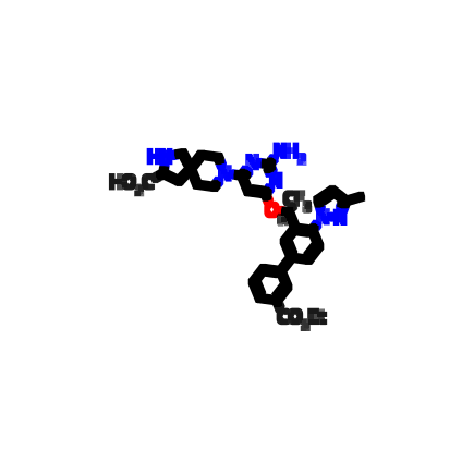 CCOC(=O)c1cccc(-c2ccc(-n3ccc(C)n3)c([C@@H](Oc3cc(N4CCC5(CC4)CNC(C(=O)O)C5)nc(N)n3)C(F)(F)F)c2)c1